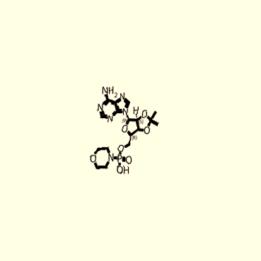 CC1(C)OC2[C@@H](COP(=O)(O)N3CCOCC3)O[C@@H](n3cnc4c(N)ncnc43)[C@H]2O1